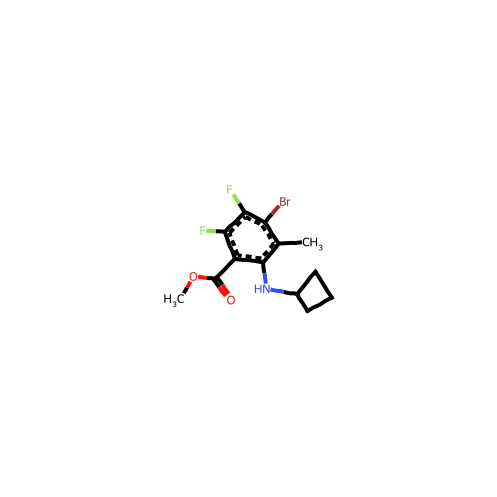 COC(=O)c1c(F)c(F)c(Br)c(C)c1NC1CCC1